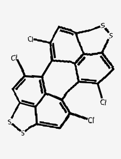 Clc1cc2c3c(cc(Cl)c4c5c(Cl)cc6c7c(cc(Cl)c(c1c34)c75)SS6)SS2